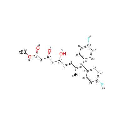 CC(C)C(C=C[C@@H](O)CC(=O)CC(=O)OC(C)(C)C)=C(c1ccc(F)cc1)c1ccc(F)cc1